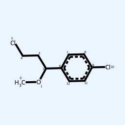 COC(CCCl)c1ccc(Cl)cc1